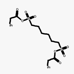 CC(C)CC(=O)OS(=O)(=O)CCCCCCS(=O)(=O)OC(=O)CC(C)C